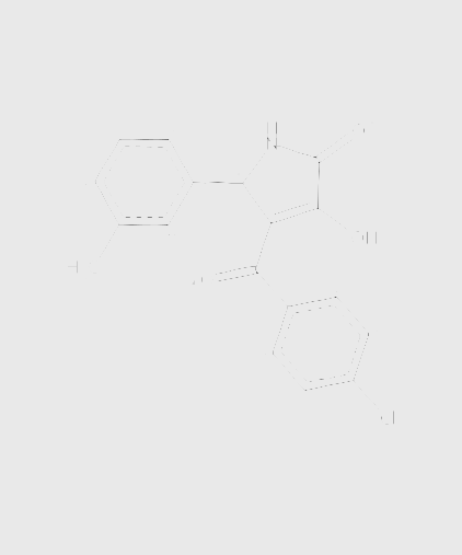 Cc1cccc(C2NC(=O)C(O)=C2C(=O)c2ccc(Cl)cc2)c1